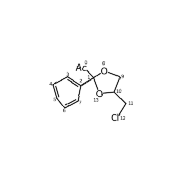 CC(=O)C1(c2ccccc2)OCC(CCl)O1